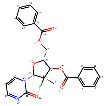 C[C@@]1(F)[C@H](OC(=O)c2ccccc2)[C@@H](COC(=O)c2ccccc2)O[C@H]1n1cccnc1=O